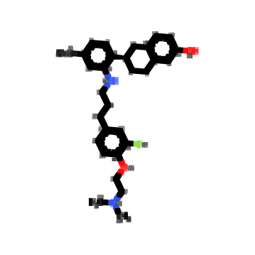 COc1ccc([C@@H]2CCc3cc(O)ccc3C2)c(NCCCc2ccc(OCCN(C)C)c(F)c2)c1